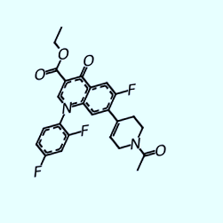 CCOC(=O)c1cn(-c2ccc(F)cc2F)c2cc(C3=CCN(C(C)=O)CC3)c(F)cc2c1=O